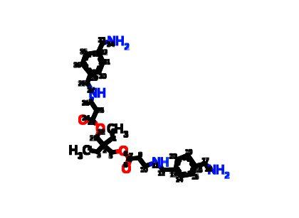 CCC(CC)(COC(=O)CCNCc1ccc(CN)cc1)COC(=O)CCNCc1ccc(CN)cc1